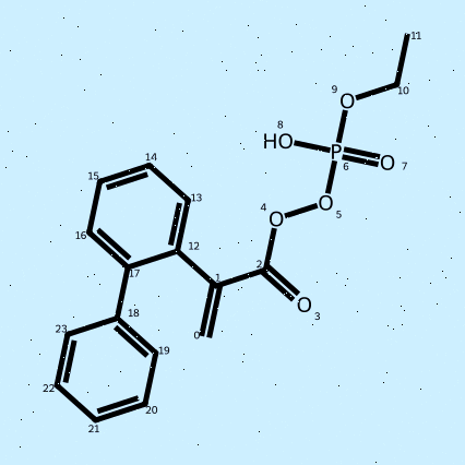 C=C(C(=O)OOP(=O)(O)OCC)c1ccccc1-c1ccccc1